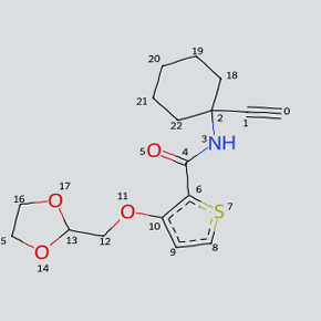 C#CC1(NC(=O)c2sccc2OCC2OCCO2)CCCCC1